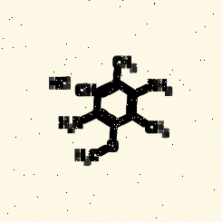 COc1c(N)cc(C)c(N)c1C.Cl.Cl